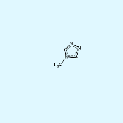 Cn1[c]nnc1